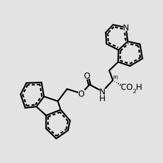 O=C(N[C@H](Cc1cccc2ncccc12)C(=O)O)OCC1c2ccccc2-c2ccccc21